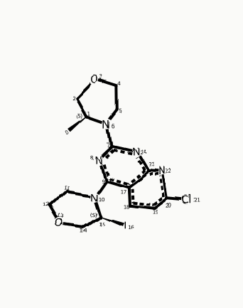 C[C@H]1COCCN1c1nc(N2CCOC[C@@H]2I)c2ccc(Cl)nc2n1